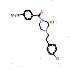 CNc1ccc(C(=O)N2CCN(CCc3ccc(Cl)cc3)CC2)cc1.Cl